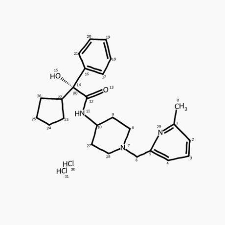 Cc1cccc(CN2CCC(NC(=O)[C@](O)(c3ccccc3)C3CCCC3)CC2)n1.Cl.Cl